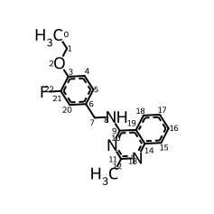 CCOc1ccc(CNc2nc(C)nc3ccccc23)cc1F